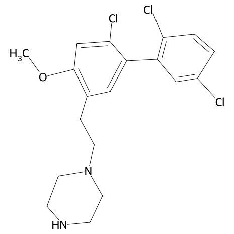 COc1cc(Cl)c(-c2cc(Cl)ccc2Cl)cc1CCN1CCNCC1